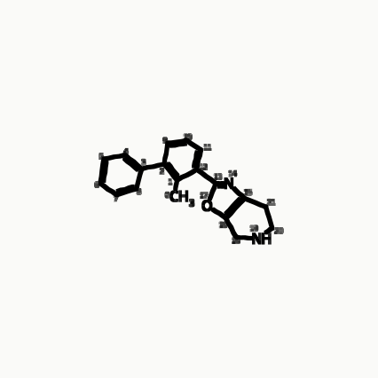 Cc1c(-c2ccccc2)cccc1-c1nc2c(o1)CNCC2